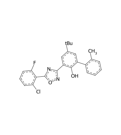 Cc1ccccc1-c1cc(C(C)(C)C)cc(-c2noc(-c3c(F)cccc3Cl)n2)c1O